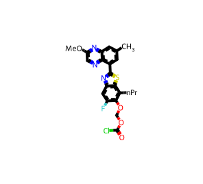 CCCc1c(OCOC(=O)Cl)c(F)cc2nc(-c3cc(C)cc4nc(OC)cnc34)sc12